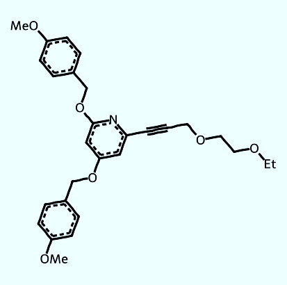 CCOCCOCC#Cc1cc(OCc2ccc(OC)cc2)cc(OCc2ccc(OC)cc2)n1